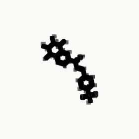 CC1c2ccc(C(=O)C=Cc3ccc(S(C)(=O)=O)cc3)cc2C(C)C(C)C1C